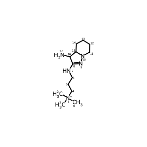 C[N+](C)(C)CCCNC1=NN2CCCCC2C1N